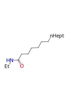 [CH2]CNC(=O)CCCCCCCCCCCCC